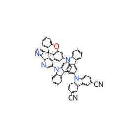 N#Cc1ccc2c(c1)c1cc(C#N)ccc1n2-c1ccc2c(c1)c1ccccc1n2-c1ccc2c(c1)Oc1ccccc1C21c2cccnc2-c2ncc(-n3c4ccccc4c4ccccc43)cc21